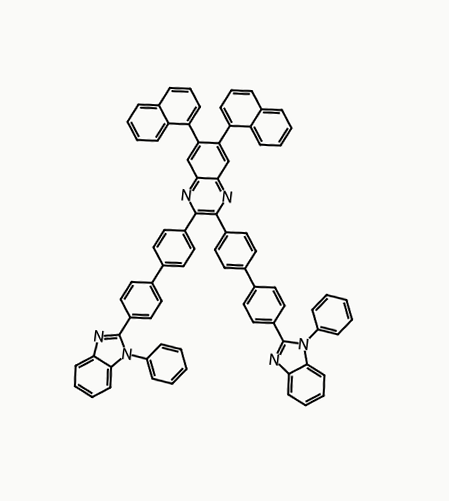 c1ccc(-n2c(-c3ccc(-c4ccc(-c5nc6cc(-c7cccc8ccccc78)c(-c7cccc8ccccc78)cc6nc5-c5ccc(-c6ccc(-c7nc8ccccc8n7-c7ccccc7)cc6)cc5)cc4)cc3)nc3ccccc32)cc1